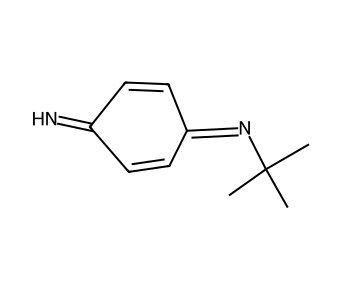 CC(C)(C)N=C1C=CC(=N)C=C1